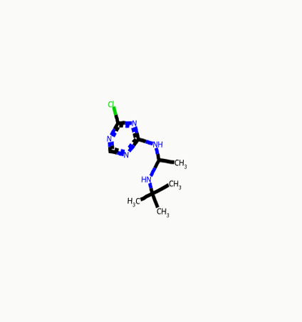 CC(Nc1ncnc(Cl)n1)NC(C)(C)C